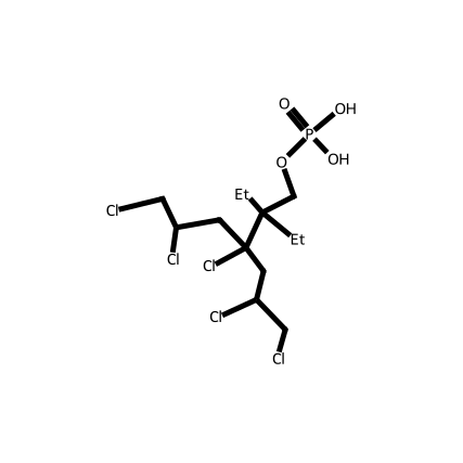 CCC(CC)(COP(=O)(O)O)C(Cl)(CC(Cl)CCl)CC(Cl)CCl